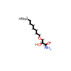 CCCCCCCCCCCCCCCCOCC(O)C(N)=O